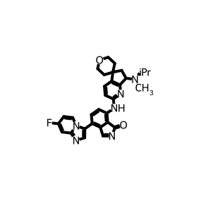 CC(C)N(C)C1CC2(CCOCC2)c2ccc(Nc3ccc(-c4cnc5cc(F)ccn45)c4c3C(=O)N=C4)nc21